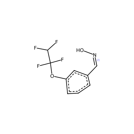 O/N=C\c1cccc(OC(F)(F)C(F)F)c1